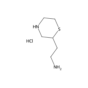 Cl.NCCC1CNCCS1